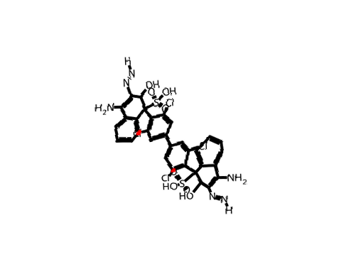 [H]/N=N/C1=C(N)c2ccccc2C(c2c(Cl)cc(-c3cc(Cl)c(C4(S(=O)(=O)O)c5ccccc5C(N)=C(/N=N/[H])C4O)c(Cl)c3)cc2Cl)(S(=O)(=O)O)C1O